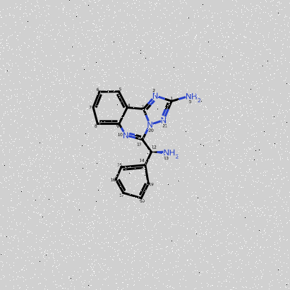 Nc1nc2c3ccccc3nc([C@@H](N)c3ccccc3)n2n1